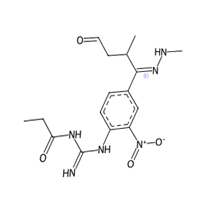 CCC(=O)NC(=N)Nc1ccc(/C(=N/NC)C(C)CC=O)cc1[N+](=O)[O-]